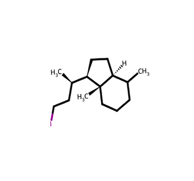 CC1CCC[C@]2(C)[C@@H]([C@H](C)CCI)CC[C@@H]12